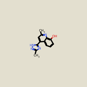 Cc1cc(-c2nc(C)n[nH]2)c2cccc(O)c2n1